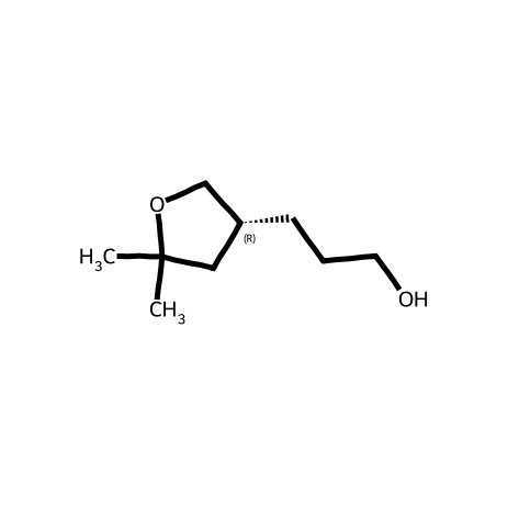 CC1(C)C[C@@H](CCCO)CO1